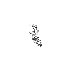 O=C(O)Cc1cccc(C2CCCN(S(=O)(=O)c3ccc(F)cc3)C2)c1Cl